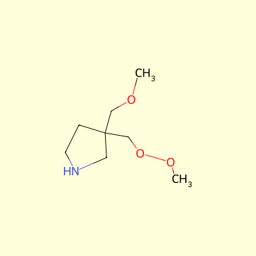 COCC1(COOC)CCNC1